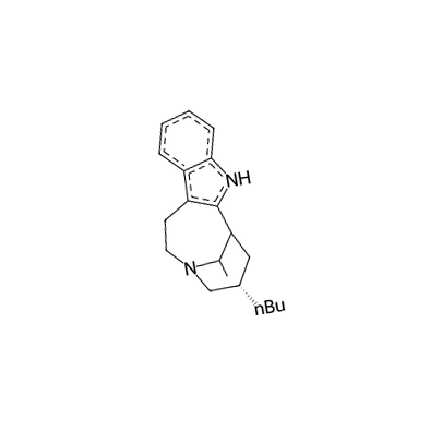 CCCC[C@H]1CC2c3[nH]c4ccccc4c3CCN(C1)C2C